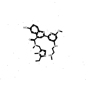 CCc1ncc(CN(C)C(=O)c2cc(-c3cc(NCCNC)cc(OC)n3)nc3ccc(O)cc23)n1C